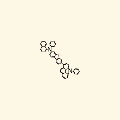 CC1(C)c2cc(-c3ccc4c5c3ccc3cccc(c35)n4-c3ccccc3)ccc2-c2ccc(N(c3ccccc3)c3cccc4ccccc34)cc21